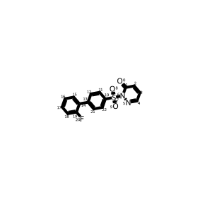 O=c1cccnn1S(=O)(=O)c1ccc(-c2ccccc2F)cc1